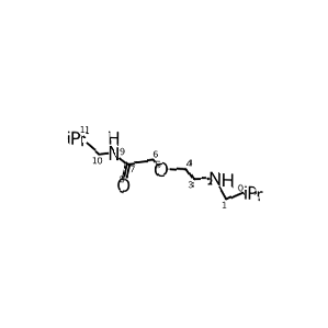 CC(C)CNCCOCC(=O)NCC(C)C